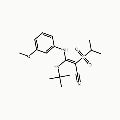 COc1cccc(NC(NC(C)(C)C)=C(C#N)S(=O)(=O)C(C)C)c1